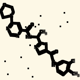 Cc1ccc(NC(=O)c2cnc(C(C)NC(=O)c3cc(N4CCOCC4)ncn3)s2)cc1Cl